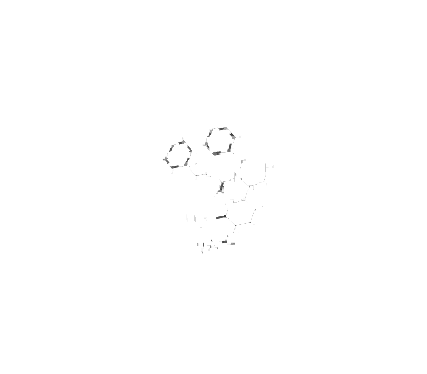 C=C1OC(C(CF)N(Cc2ccccc2)C(=O)OCc2ccccc2)CCC1N=[N+]=[N-]